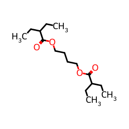 CCC(CC)C(=O)OCCCCOC(=O)C(CC)CC